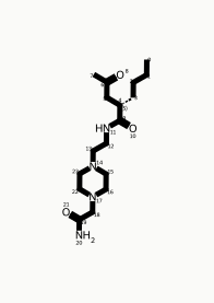 CCCC[C@@H](CC(C)=O)C(=O)NCCN1CCN(CC(N)=O)CC1